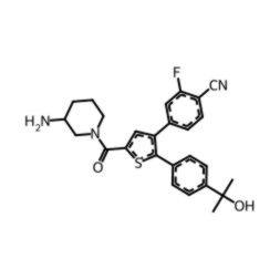 CC(C)(O)c1ccc(-c2sc(C(=O)N3CCCC(N)C3)cc2-c2ccc(C#N)c(F)c2)cc1